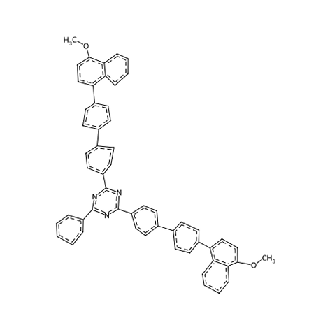 COc1ccc(-c2ccc(-c3ccc(-c4nc(-c5ccccc5)nc(-c5ccc(-c6ccc(-c7ccc(OC)c8ccccc78)cc6)cc5)n4)cc3)cc2)c2ccccc12